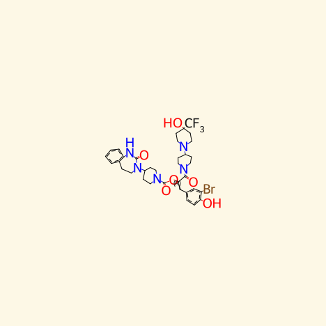 O=C(O[C@H](Cc1ccc(O)c(Br)c1)C(=O)N1CCC(N2CCC(O)(C(F)(F)F)CC2)CC1)N1CCC(N2CCc3ccccc3NC2=O)CC1